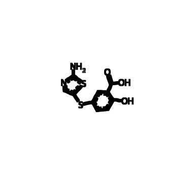 Nc1ncc(Sc2ccc(O)c(C(=O)O)c2)s1